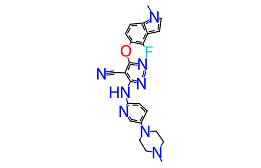 CN1CCN(c2ccc(Nc3ncnc(Oc4ccc5c(ccn5C)c4F)c3C#N)nc2)CC1